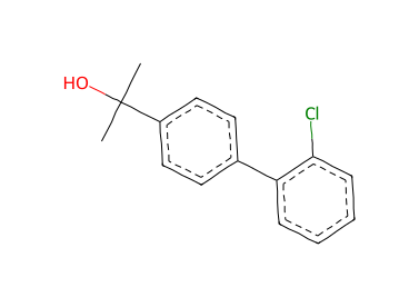 CC(C)(O)c1ccc(-c2ccccc2Cl)cc1